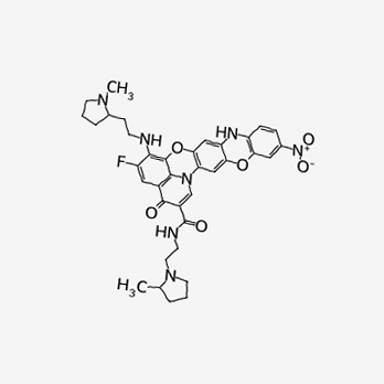 CC1CCCN1CCNC(=O)c1cn2c3cc4oc5cc([N+](=O)[O-])ccc5[nH]c4cc3oc3c(NCCC4CCCN4C)c(F)cc(c1=O)c32